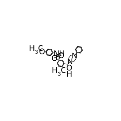 COc1ccc(NS(=O)(=O)c2ccc(C)c(C(O)N3CCN(c4ccccc4)CC3)c2)cc1